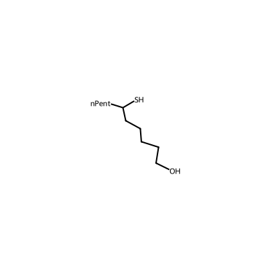 CCCCCC(S)CCCCCO